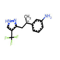 C[C@H](Cc1n[nH]cc1C(F)(F)F)c1cccc(N)c1